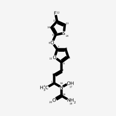 CC(C=Cc1ccc(Oc2cc(F)cs2)o1)N(O)C(N)=O